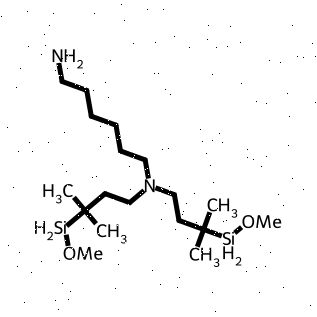 CO[SiH2]C(C)(C)CCN(CCCCCCN)CCC(C)(C)[SiH2]OC